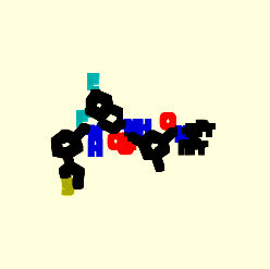 CCCN(CCC)C(=O)c1cc(C)cc(C(=O)N[C@@H](Cc2cc(F)cc(F)c2)[C@H](O)CNCc2cccc(-c3ccsc3)c2)c1